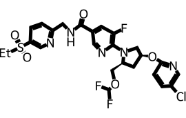 CCS(=O)(=O)c1ccc(CNC(=O)c2cnc(N3C[C@@H](Oc4ccc(Cl)cn4)C[C@H]3COC(F)F)c(F)c2)nc1